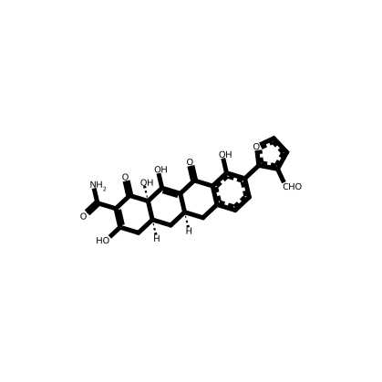 NC(=O)C1=C(O)C[C@@H]2C[C@@H]3Cc4ccc(-c5occc5C=O)c(O)c4C(=O)C3=C(O)[C@]2(O)C1=O